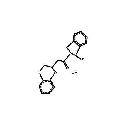 CCN1c2ccccc2CN1C(=O)CC1COc2ccccc2O1.Cl